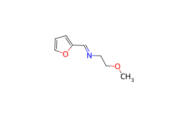 COCCN=Cc1ccco1